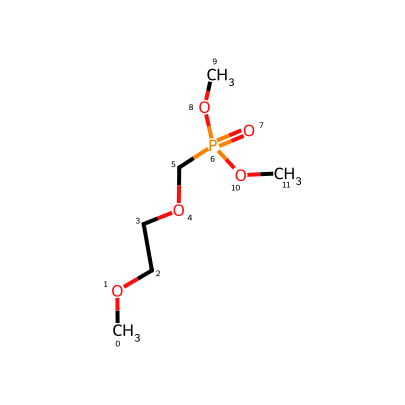 COCCOCP(=O)(OC)OC